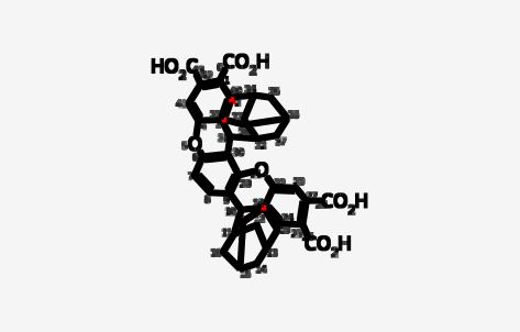 O=C(O)c1ccc(Oc2ccc(C3C4CC5CC(C4)CC3C5)c(Oc3ccc(C(=O)O)c(C(=O)O)c3)c2C2C3CC4CC(C3)CC2C4)cc1C(=O)O